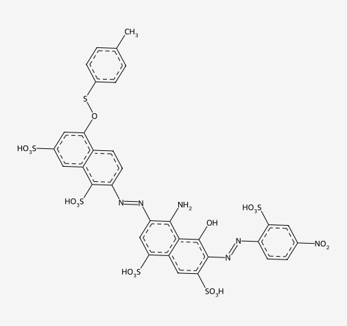 Cc1ccc(SOc2cc(S(=O)(=O)O)cc3c(S(=O)(=O)O)c(N=Nc4cc(S(=O)(=O)O)c5cc(S(=O)(=O)O)c(N=Nc6ccc([N+](=O)[O-])cc6S(=O)(=O)O)c(O)c5c4N)ccc23)cc1